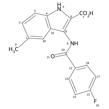 Cc1ccc2[nH]c(C(=O)O)c(NC(=O)c3ccc(F)cc3)c2c1